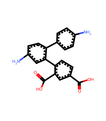 Nc1ccc(-c2ccc(N)cc2-c2ccc(C(=O)O)cc2C(=O)O)cc1